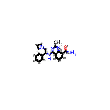 Cc1nc(NC(CN2CCC2)c2ccccc2)c2cccc(C(N)=O)c2n1